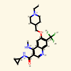 CCN1CCC(COc2cc3c(NC)c(C(=O)NC4CC4)cnc3cc2C(F)(F)F)CC1